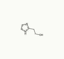 O[C]Cc1ncc[nH]1